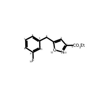 CCOC(=O)c1cc(Cc2cccc(F)c2)on1